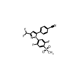 CS(=O)(=O)c1cc(F)c(-n2nc(C(F)F)cc2-c2ccc(C#N)cc2)cc1F